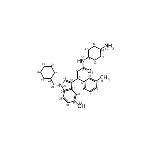 Cc1cccc(C(CC(=O)NC2CCC(N)CC2)c2cn(CC3CCCCC3)c3ccc(O)cc23)c1